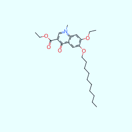 CCCCCCCCCCOc1cc2c(=O)c(C(=O)OCC)cn(C)c2cc1OCC